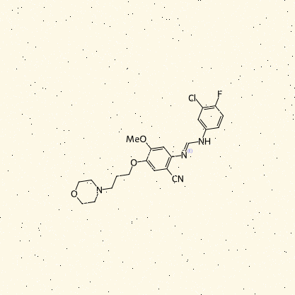 COc1cc(/N=C/Nc2ccc(F)c(Cl)c2)c(C#N)cc1OCCCN1CCOCC1